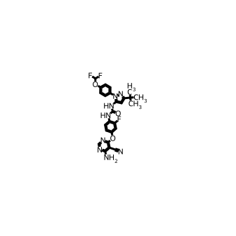 CC(C)(C)c1cc(NC(=O)Nc2ccc(Oc3ncnc(N)c3C#N)cc2F)n(-c2ccc(OC(F)F)cc2)n1